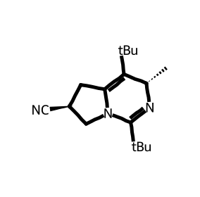 C[C@@H]1N=C(C(C)(C)C)N2C[C@@H](C#N)CC2=C1C(C)(C)C